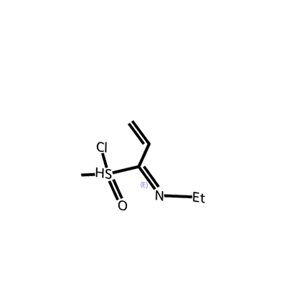 C=C/C(=N\CC)[SH](C)(=O)Cl